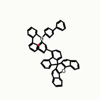 c1ccc(-c2ccc(N(c3cccc(-c4cccc5c4-c4ccccc4C54c5ccc6ccccc6c5Oc5c4ccc4ccccc54)c3)c3ccccc3-c3ccccc3)cc2)cc1